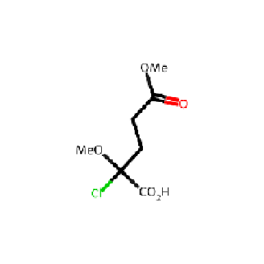 COC(=O)CCC(Cl)(OC)C(=O)O